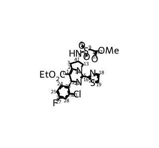 CCOC(=O)C1=C2C[C@H](NS(=O)(=O)CC(=O)OC)CN2C(c2nccs2)=N[C@H]1c1ccc(F)cc1Cl